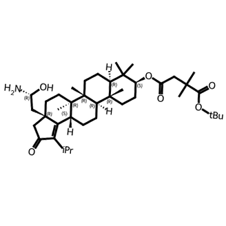 CC(C)C1=C2[C@H]3CC[C@@H]4[C@@]5(C)CC[C@H](OC(=O)CC(C)(C)C(=O)OC(C)(C)C)C(C)(C)[C@@H]5CC[C@@]4(C)[C@]3(C)CC[C@@]2(C[C@H](N)O)CC1=O